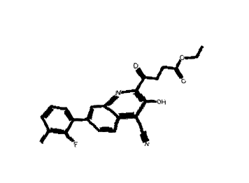 CCOC(=O)CCC(=O)c1nc2cc(-c3cccc(C)c3F)ccc2c(C#N)c1O